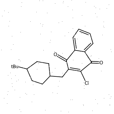 CC(C)(C)C1CCC(CC2=C(Cl)C(=O)c3ccccc3C2=O)CC1